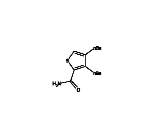 CCCCc1csc(C(N)=O)c1CCCC